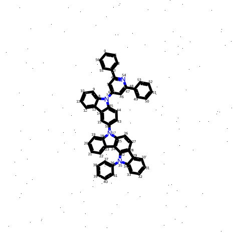 c1ccc(-c2cc(-n3c4ccccc4c4cc(-n5c6ccccc6c6c5ccc5c7ccccc7n(-c7ccccc7)c56)ccc43)cc(-c3ccccc3)n2)cc1